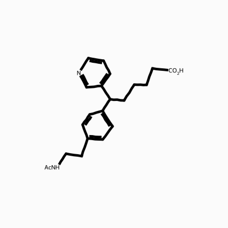 CC(=O)NCCc1ccc(C(CCCCC(=O)O)c2cccnc2)cc1